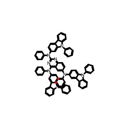 c1ccc(N(c2ccc3nc(N(c4ccccc4)c4ccc5c6ccccc6n(-c6ccccc6)c5c4)nc(N(c4ccccc4)c4ccc5c(c4)c4ccccc4n5-c4ccccc4)c3c2)c2ccc3c(c2)c2ccccc2n3-c2ccccc2)cc1